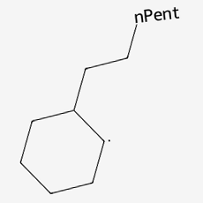 CCCCCCCC1[CH]CCCC1